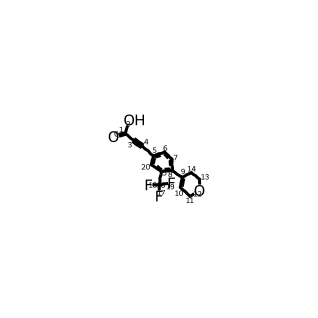 O=C(O)C#Cc1ccc(C2=CCOCC2)c(C(F)(F)F)c1